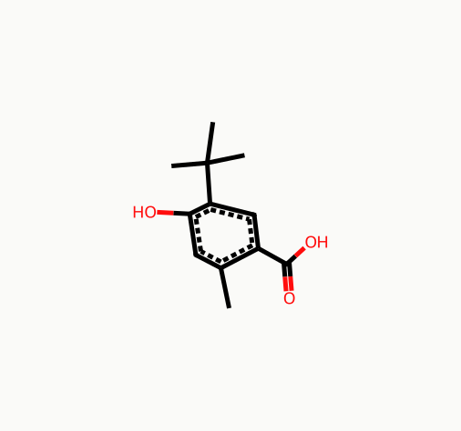 Cc1cc(O)c(C(C)(C)C)cc1C(=O)O